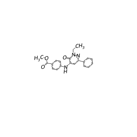 CCn1nc(-c2ccccc2)cc(Nc2ccc(C(=O)OC)cc2)c1=O